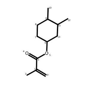 C=C(C)C(=O)OC1CCC(C)C(C)C1